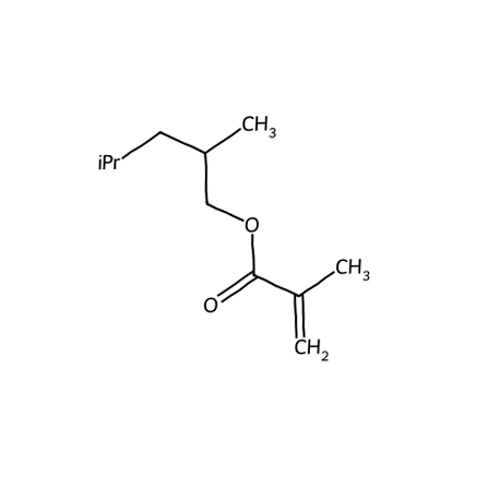 C=C(C)C(=O)OCC(C)CC(C)C